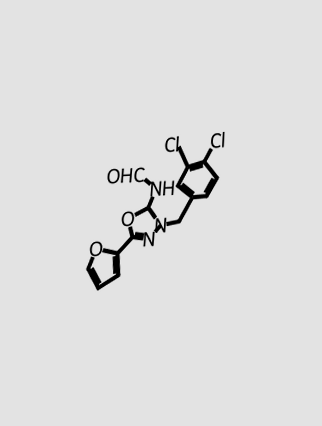 O=CNC1OC(c2ccco2)=NN1Cc1ccc(Cl)c(Cl)c1